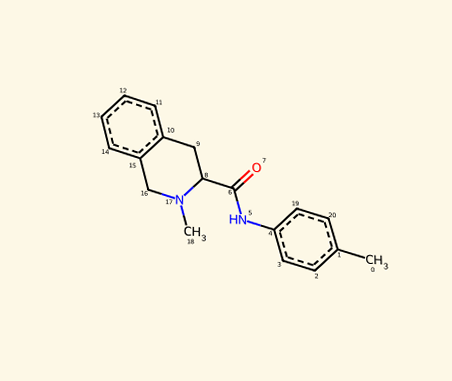 Cc1ccc(NC(=O)C2Cc3ccccc3CN2C)cc1